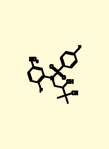 CC(C)(C#N)C(O)CN(c1cc([N+](=O)[O-])ccc1F)S(=O)(=O)c1ccc(F)cc1